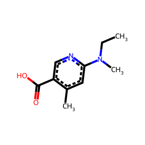 CCN(C)c1cc(C)c(C(=O)O)cn1